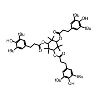 CC(C)(C)c1cc(CCC(=O)OC2C(C)(C)C(OC(=O)CCc3cc(C(C)(C)C)c(O)c(C(C)(C)C)c3)C(C)(C)C(OC(=O)CCc3cc(C(C)(C)C)c(O)c(C(C)(C)C)c3)C2(C)C)cc(C(C)(C)C)c1O